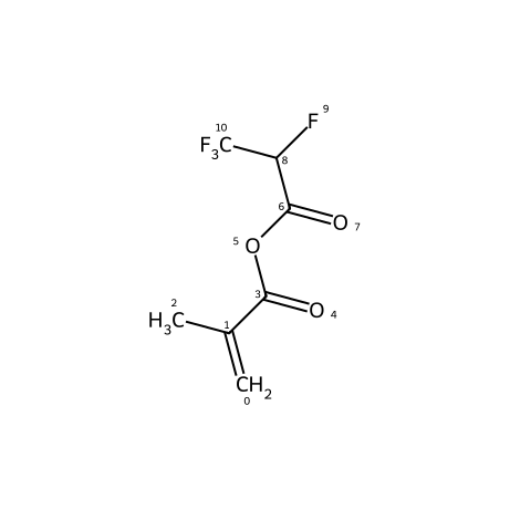 C=C(C)C(=O)OC(=O)C(F)C(F)(F)F